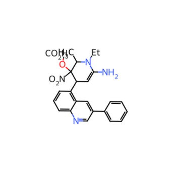 CCN1C(N)=CC(c2cccc3ncc(-c4ccccc4)cc23)C(OC(=O)O)([N+](=O)[O-])C1C